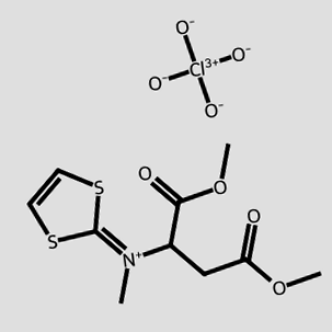 COC(=O)CC(C(=O)OC)[N+](C)=c1sccs1.[O-][Cl+3]([O-])([O-])[O-]